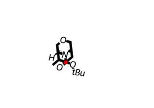 CC1CCC2COC[C@@H]1N2C(=O)OC(C)(C)C